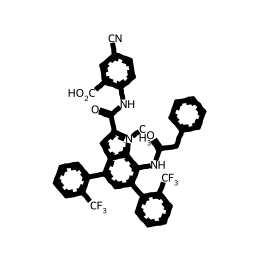 Cn1c(C(=O)Nc2ccc(C#N)cc2C(=O)O)cc2c(-c3ccccc3C(F)(F)F)cc(-c3ccccc3C(F)(F)F)c(NC(=O)Cc3ccccc3)c21